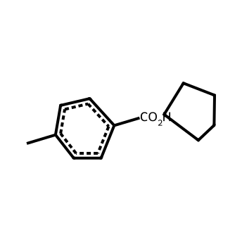 C1CCCC1.Cc1ccc(C(=O)O)cc1